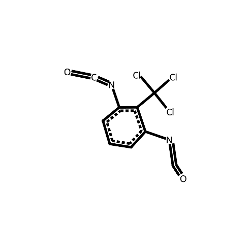 O=C=Nc1cccc(N=C=O)c1C(Cl)(Cl)Cl